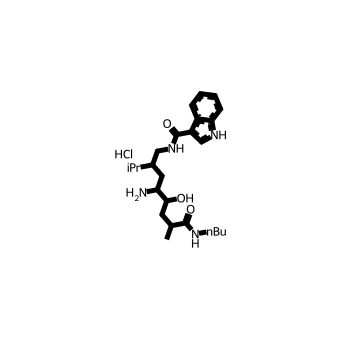 CCCCNC(=O)C(C)CC(O)C(N)CC(CNC(=O)c1c[nH]c2ccccc12)C(C)C.Cl